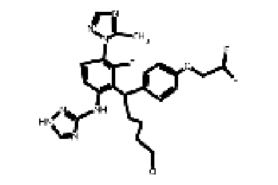 Cc1ncnn1-c1ccc(Nc2nc[nH]n2)c(C(CCCCCl)c2ccc(OCC(F)F)cc2)c1F